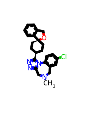 CN1Cc2cc(Cl)ccc2-n2c(nnc2[C@H]2CC[C@]3(CC2)OCc2ccccc23)C1